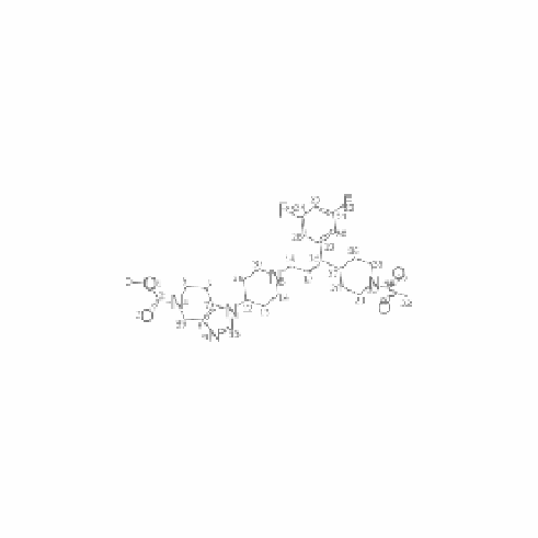 COC(=O)N1CCc2c(ncn2C2CCN(CC[C@@H](c3cc(F)cc(F)c3)C3CCN(S(C)(=O)=O)CC3)CC2)C1